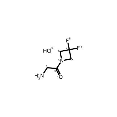 Cl.NCC(=O)N1CC(F)(F)C1